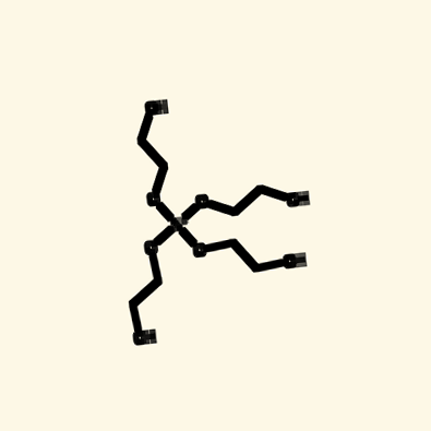 OCCO[N+](OCCO)(OCCO)OCCO